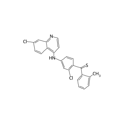 Cc1ccccc1C(=S)c1ccc(Nc2ccnc3cc(Cl)ccc23)cc1Cl